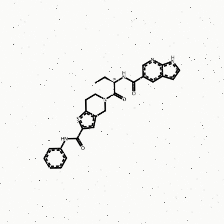 CC[C@@H](NC(=O)c1cnc2[nH]ccc2c1)C(=O)N1CCc2sc(C(=O)Nc3ccccc3)cc2C1